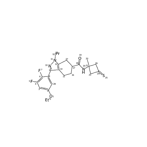 CCOc1cc(F)c(F)c(-c2nn(C(C)C)c3c2CCC(C(=O)NC2(C)CC(=S)C2)C3)c1